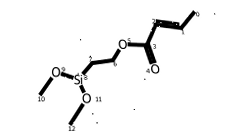 CC=CC(=O)OCC[Si](OC)OC